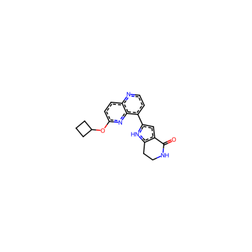 O=C1NCCc2[nH]c(-c3ccnc4ccc(OC5CCC5)nc34)cc21